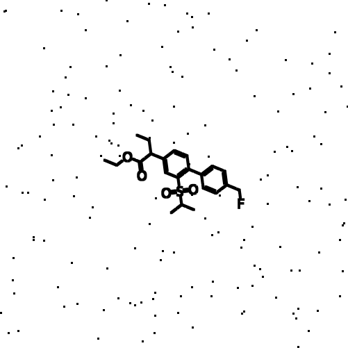 CCOC(=O)C(CC)c1ccc(-c2ccc(CF)cc2)c(S(=O)(=O)C(C)C)c1